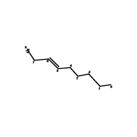 CCCCCC=CC[S]